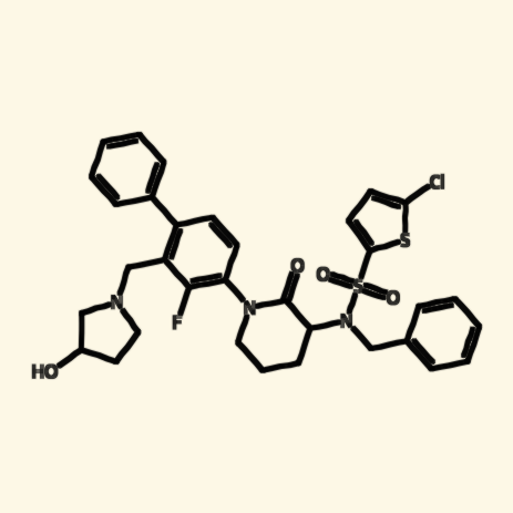 O=C1C(N(Cc2ccccc2)S(=O)(=O)c2ccc(Cl)s2)CCCN1c1ccc(-c2ccccc2)c(CN2CCC(O)C2)c1F